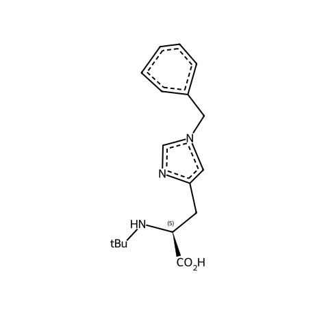 CC(C)(C)N[C@@H](Cc1cn(Cc2ccccc2)cn1)C(=O)O